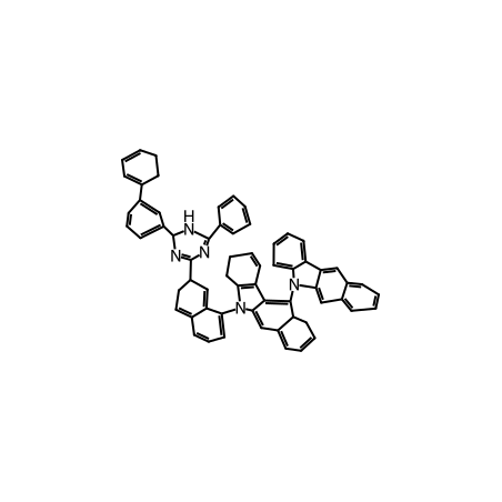 C1=CCCC(c2cccc(C3N=C(C4C=c5c(-n6c7c(c8c6=CC6=CC=CCC6C=8n6c8ccccc8c8cc9ccccc9cc86)C=CCC7)cccc5=CC4)N=C(c4ccccc4)N3)c2)=C1